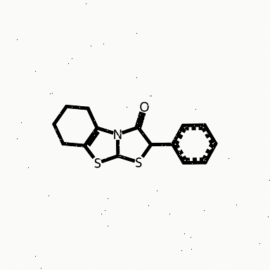 O=C1C(c2ccccc2)SC2SC3=C(CCCC3)N12